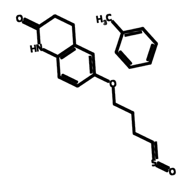 Cc1ccccc1.O=S=CCCCOc1ccc2c(c1)CCC(=O)N2